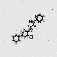 Clc1cc(-c2ccccc2)nnc1NCCNc1ncccn1